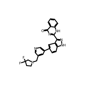 O=c1nc(-c2n[nH]c3ccc(-c4cncc(CN5CCC(F)(F)C5)c4)cc23)[nH]c2ccccc12